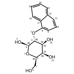 OC[C@H]1O[C@@H](O)[C@H](Oc2cccc3ccccc23)[C@@H](O)[C@H]1O